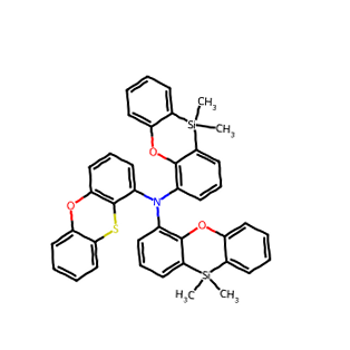 C[Si]1(C)c2ccccc2Oc2c(N(c3cccc4c3Oc3ccccc3[Si]4(C)C)c3cccc4c3Sc3ccccc3O4)cccc21